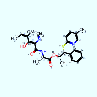 C=N/C(C(=O)N[C@@H](C)C(=O)O[C@@H](C)[C@H](Sc1ccc(C(F)(F)F)cn1)c1ccccc1)=C(O)\C(=C/C)OC